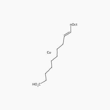 CCCCCCCCC=CCCCCCCCC(=O)O.[Cu]